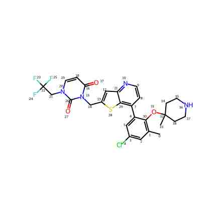 Cc1cc(Cl)cc(-c2ccnc3cc(Cn4c(=O)ccn(CC(F)(F)F)c4=O)sc23)c1OC1(C)CCNCC1